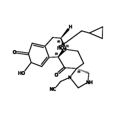 N#CCN1CNC[C@]12CC[C@@]1(O)[C@H]3CC4=CC(=O)C(O)C=C4[C@@]1(CCN3CC1CC1)C2=O